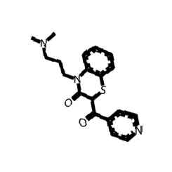 CN(C)CCCN1C(=O)C(C(=O)c2ccncc2)Sc2ccccc21